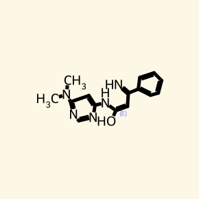 CN(C)c1cc(N/C(O)=C\C(=N)c2ccccc2)ncn1